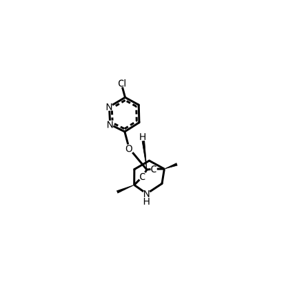 C[C@]12CC[C@](C)(C[C@H](Oc3ccc(Cl)nn3)C1)NC2